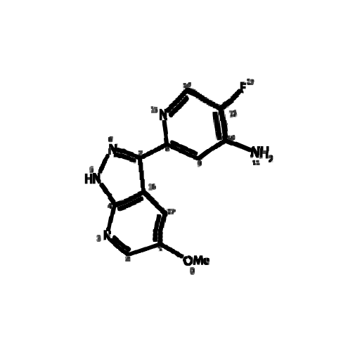 COc1cnc2[nH]nc(-c3cc(N)c(F)cn3)c2c1